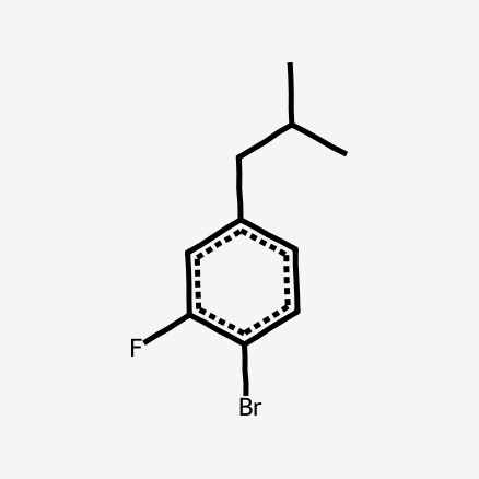 CC(C)Cc1ccc(Br)c(F)c1